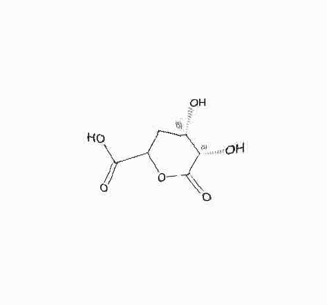 O=C(O)C1C[C@H](O)[C@H](O)C(=O)O1